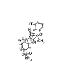 CC(C)(Oc1cccc(Cl)c1)C(=N)N(C#N)C1C2CC3CC1CC(S(N)(=O)=O)(C3)C2